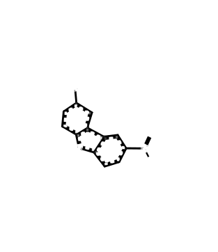 O=[N+]([O-])c1ccc2[nH]c3ccc(Br)cc3c2c1